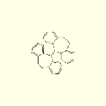 c1ccc2c(c1)CCc1ccccc1C2C1c2ccccc2CCc2ccccc21